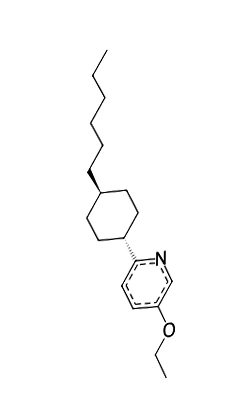 CCCCCC[C@H]1CC[C@H](c2ccc(OCC)cn2)CC1